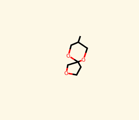 CC1COC2(CCOC2)OC1